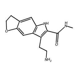 CNC(=O)c1[nH]c2cc3c(cc2c1CCN)OCC3